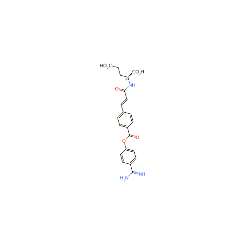 N=C(N)c1ccc(OC(=O)c2ccc(C=CC(=O)N[C@@H](CCC(=O)O)C(=O)O)cc2)cc1